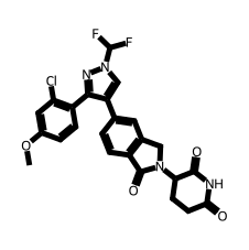 COc1ccc(-c2nn(C(F)F)cc2-c2ccc3c(c2)CN(C2CCC(=O)NC2=O)C3=O)c(Cl)c1